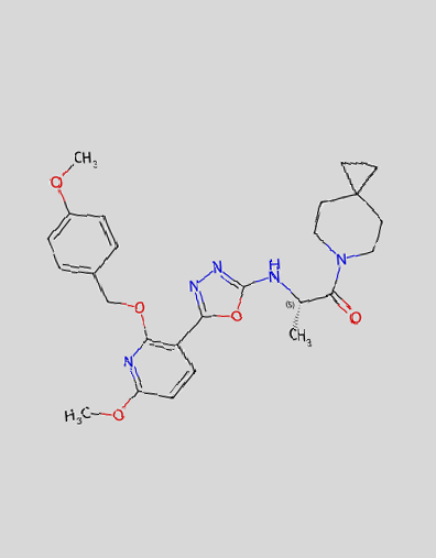 COc1ccc(COc2nc(OC)ccc2-c2nnc(N[C@@H](C)C(=O)N3CCC4(CC3)CC4)o2)cc1